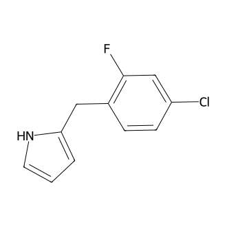 Fc1cc(Cl)ccc1Cc1ccc[nH]1